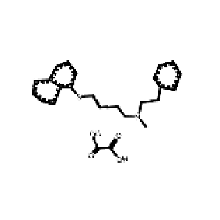 CN(CCCCSc1cccc2ccccc12)CCc1ccccc1.O=C(O)C(=O)O